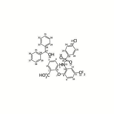 O=C(O)c1ccccc1Oc1ccc(C(F)(F)F)cc1NS(=O)(=O)c1ccc(Cl)cc1.OC(c1ccccc1)c1ccccc1